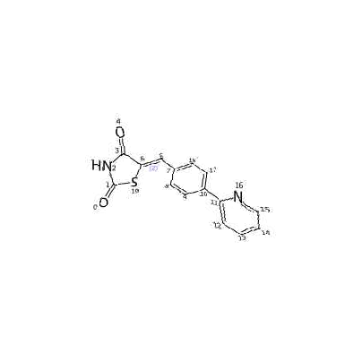 O=C1NC(=O)/C(=C/c2ccc(-c3ccccn3)cc2)S1